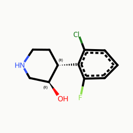 O[C@H]1CNCC[C@@H]1c1c(F)cccc1Cl